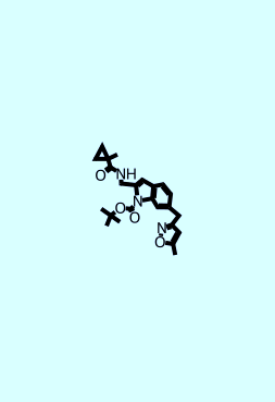 Cc1cc(Cc2ccc3cc(CNC(=O)C4(C)CC4)n(C(=O)OC(C)(C)C)c3c2)no1